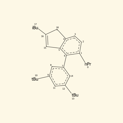 CCCc1ccc2c(c1-c1cc(C(C)(C)C)cc(C(C)(C)C)c1)C=C(C(C)CC)[CH]2